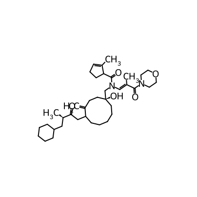 C=C1CC[C@](O)(CN(/C=C(\C)C(=O)N2CCOCC2)C(=O)C2CCC=C2C)CCCCCC1CC(=O)[C@H](C)CC1CCCCC1